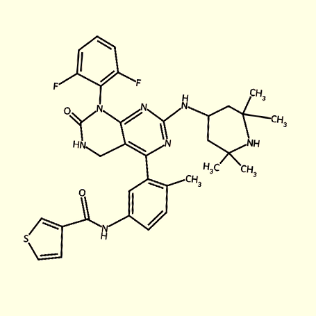 Cc1ccc(NC(=O)c2ccsc2)cc1-c1nc(NC2CC(C)(C)NC(C)(C)C2)nc2c1CNC(=O)N2c1c(F)cccc1F